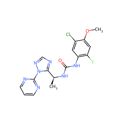 COc1cc(F)c(NC(=O)N[C@@H](C)c2ncnn2-c2ncccn2)cc1Cl